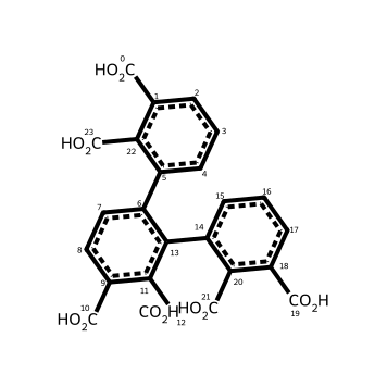 O=C(O)c1cccc(-c2ccc(C(=O)O)c(C(=O)O)c2-c2cccc(C(=O)O)c2C(=O)O)c1C(=O)O